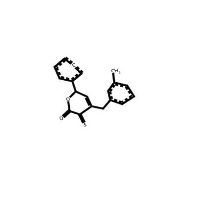 Cc1cccc(CC2=CC(c3ccccc3)OC(=O)C2=S)c1